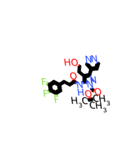 CC(C)(C)OC(=O)n1nc(-c2ccnnc2)c(CCO)c1NC(=O)CCc1cc(F)c(F)c(F)c1